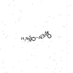 Nc1nc2ccc(CCN3CCN(c4nsc5ccccc45)CC3)cc2s1